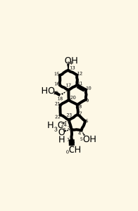 C#C[C@]1(O)[C@@H](O)CC2C3CC=C4C[C@H](O)CC[C@]4(CO)C3CC[C@@]21C